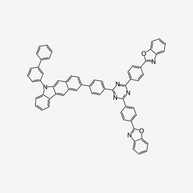 c1ccc(-c2cccc(-n3c4ccccc4c4cc5cc(-c6ccc(-c7nc(-c8ccc(-c9nc%10ccccc%10o9)cc8)nc(-c8ccc(-c9nc%10ccccc%10o9)cc8)n7)cc6)ccc5cc43)c2)cc1